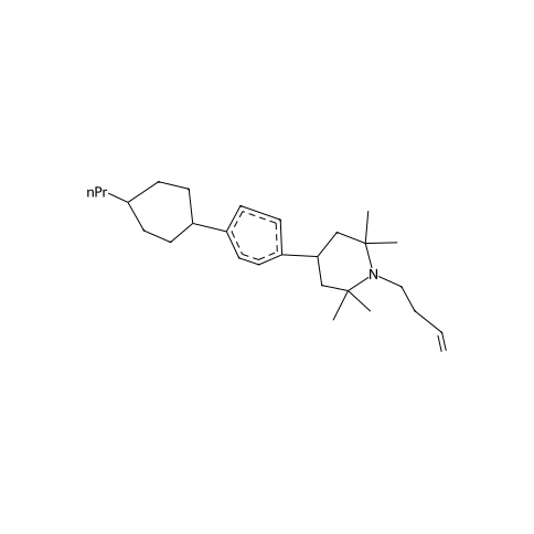 C=CCCN1C(C)(C)CC(c2ccc(C3CCC(CCC)CC3)cc2)CC1(C)C